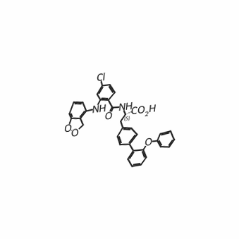 O=C(N[C@@H](Cc1ccc(-c2ccccc2Oc2ccccc2)cc1)C(=O)O)c1ccc(Cl)cc1Nc1cccc2c1COO2